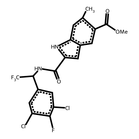 COC(=O)c1cc2cc(C(=O)NC(c3cc(Cl)c(F)c(Cl)c3)C(F)(F)F)[nH]c2cc1C